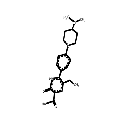 CCc1cc(C(=O)O)c(=O)[nH]c1-c1ccc(N2CCC(N(C)C)CC2)cc1